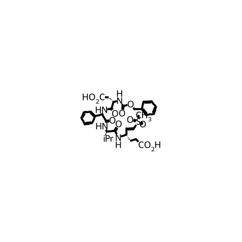 CC(C)[C@H](NC(=O)[C@@H](NC(=O)[C@H](CC(=O)O)NC(=O)OCc1ccccc1)c1ccccc1)C(=O)N[C@H](/C=C/S(C)(=O)=O)CCC(=O)O